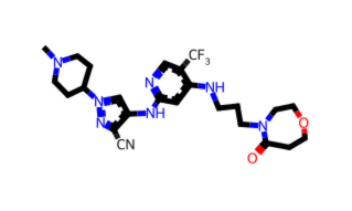 CN1CCC(n2cc(Nc3cc(NCCCN4CCOCCC4=O)c(C(F)(F)F)cn3)c(C#N)n2)CC1